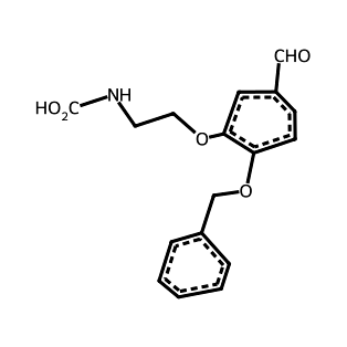 O=Cc1ccc(OCc2ccccc2)c(OCCNC(=O)O)c1